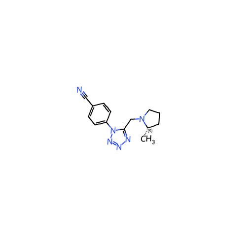 C[C@H]1CCCN1Cc1nnnn1-c1ccc(C#N)cc1